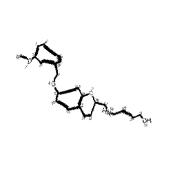 COc1cccc(COc2ccc3c(c2)OC(CNCCCO)CC3)c1